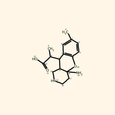 Cc1ccc2c(c1)C(C(C)C(=O)O)C1CNCCC1(N)O2